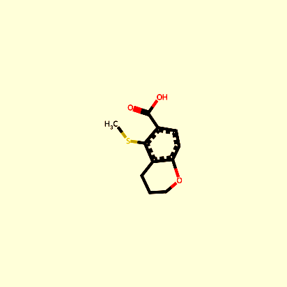 CSc1c(C(=O)O)ccc2c1CCCO2